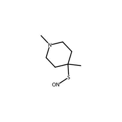 CN1CCC(C)(SN=O)CC1